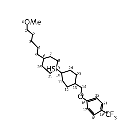 COCCCCCC1CC[SiH](C2CCC(COc3ccc(C(F)(F)F)cc3)CC2)CC1